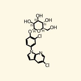 OC[C@H]1O[C@H](Oc2ccc(-n3ccc4cc(Cl)cnc43)cc2Cl)[C@@H](O)[C@@H](O)[C@@H]1O